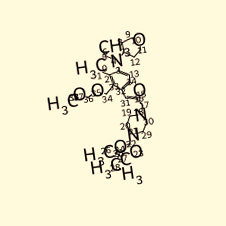 CCc1c(N(CC)C2CCOCC2)cc2oc(CN3CCN(C(=O)OC(C)(C)C)CC3)cc2c1COCOC